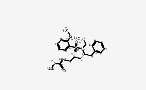 CCOC(=O)CN([C@@H](CCCNC(=O)OC(C)(C)C)Cc1ccccc1)S(=O)(=O)c1ccccc1OC(F)(F)F